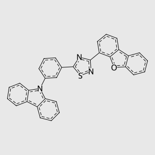 c1cc(-c2nc(-c3cccc4c3oc3ccccc34)ns2)cc(-n2c3ccccc3c3ccccc32)c1